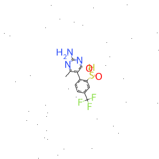 Cc1nc(N)ncc1-c1ccc(C(F)(F)F)cc1[SH](=O)=O